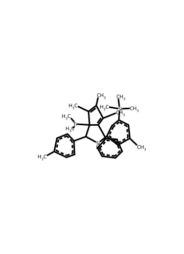 CC1=C(C)[C](C([SiH2]c2cc(C)cc([Si](C)(C)C)c2)c2ccc(C)cc2)([Ti]([CH3])[CH3])C(c2ccccc2)=C1C